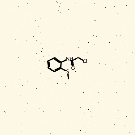 CSc1ccccc1NC(=O)CCl